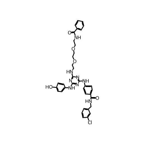 O=C(NCCOCCOCCNc1nc(Nc2ccc(O)cc2)nc(Nc2ccc(C(=O)NCc3cccc(Cl)c3)cc2)n1)c1ccccc1